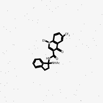 CCn1cc(C(=O)NC2(NC(C)=O)CCc3ccccc32)c(=O)c2cc(C(F)(F)F)ccc21